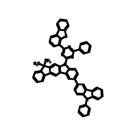 CC1(C)c2ccccc2-c2cc3c4cc(-c5ccc6c(c5)c5ccccc5n6-c5ccccc5)ccc4n(-c4nc(-c5ccccc5)nc(-c5cccc6c5sc5ccccc56)n4)c3cc21